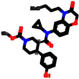 COCCCN1C(=O)COc2ccc(N(C(=O)[C@H]3CN(C(=O)OC(C)(C)C)CC[C@@H]3c3cccc(O)c3)C3CC3)cc21